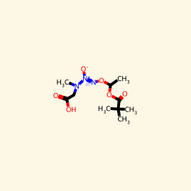 CC(O/N=[N+](\[O-])N(C)CC(=O)O)OC(=O)C(C)(C)C